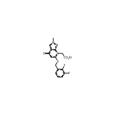 CCOC(=O)Cn1c(SCc2cccc(F)c2F)cc(=O)c2cn(C)nc21